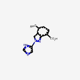 COc1ccc(C(=O)O)c2nn(-c3cnc[nH]3)cc12